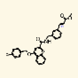 COC(=O)/C=C/c1cccc(CNC(=O)c2cc(OCc3ccc(F)cc3)c3ccccc3n2)c1